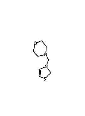 [C]1=CSCN1CN1CCOCC1